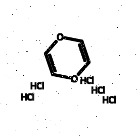 C1=COC=CO1.Cl.Cl.Cl.Cl.Cl